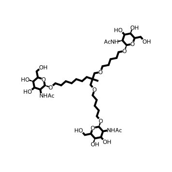 CC(=O)NC1C(O)[C@@H](O)C(CO)O[C@H]1OCCCCCCCC(C)(COCCCCCO[C@@H]1OC(CO)[C@H](O)C(O)C1NC(C)=O)COCCCCCO[C@@H]1OC(CO)[C@H](O)C(O)[C@@H]1NC(C)=O